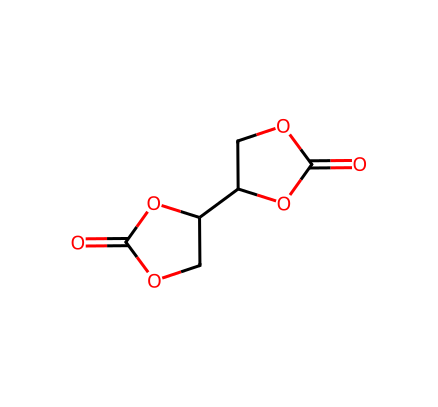 O=C1OCC(C2COC(=O)O2)O1